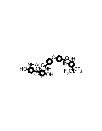 CC(=O)Nc1cc(C(c2ccc(O)c(NC(=O)c3ccc(Oc4ccc(C(=O)Nc5cc(C(C)(C(F)(F)F)C(F)(F)F)ccc5O)cc4)cc3)c2)(C(F)(F)F)C(F)(F)F)ccc1O